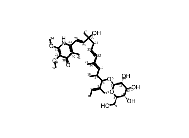 C/C=C(\C)C(O[C@@H]1O[C@H](CO)[C@@H](O)[C@H](O)[C@H]1O)C(C)/C=C(C)/C=C/CC(C)(O)/C=C/c1[nH]c(OC)c(OC)c(=O)c1C